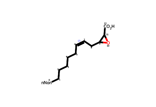 CCCCCCCCCCCCCC/C=C\CC1OC1C(=O)O